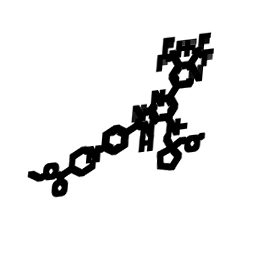 CCOC(=O)C1CCN(c2ccc(-c3nc4nc(-c5cnc(C(F)(F)F)c(C(F)(F)F)c5)cc(N(C)CC5(COC)CCCC5)c4[nH]3)cc2)CC1